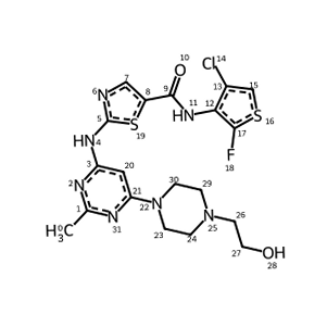 Cc1nc(Nc2ncc(C(=O)Nc3c(Cl)csc3F)s2)cc(N2CCN(CCO)CC2)n1